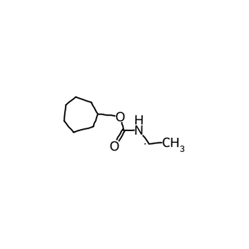 C[CH]NC(=O)OC1CCCCCC1